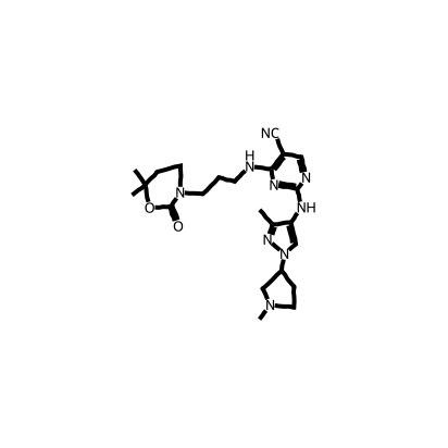 Cc1nn(C2CCN(C)C2)cc1Nc1ncc(C#N)c(NCCCN2CCC(C)(C)OC2=O)n1